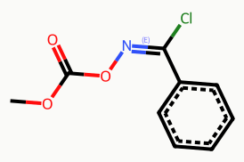 COC(=O)O/N=C(/Cl)c1ccccc1